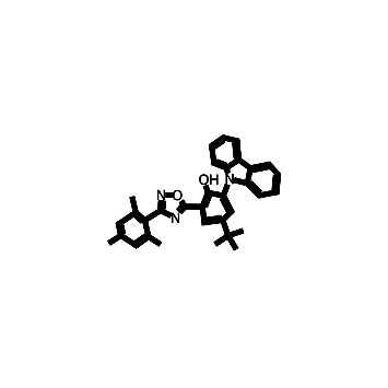 Cc1cc(C)c(-c2noc(-c3cc(C(C)(C)C)cc(-n4c5ccccc5c5ccccc54)c3O)n2)c(C)c1